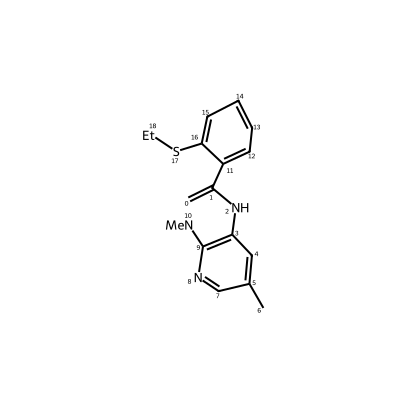 C=C(Nc1cc(C)cnc1NC)c1ccccc1SCC